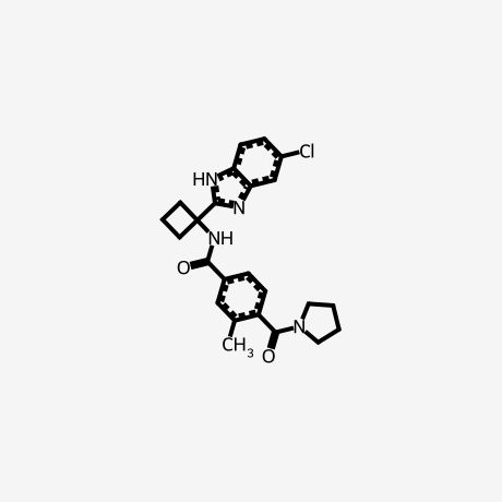 Cc1cc(C(=O)NC2(c3nc4cc(Cl)ccc4[nH]3)CCC2)ccc1C(=O)N1CCCC1